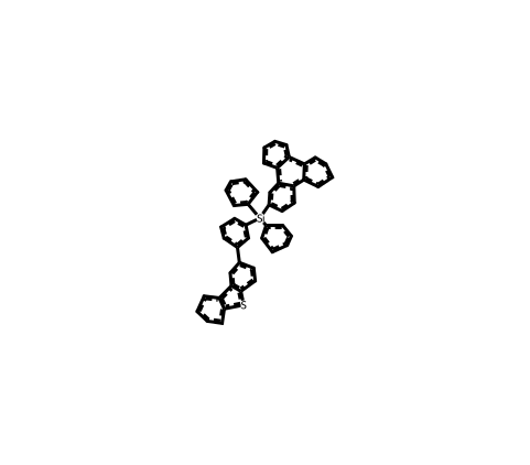 c1ccc([Si](c2ccccc2)(c2cccc(-c3ccc4sc5ccccc5c4c3)c2)c2ccc3c4ccccc4c4ccccc4c3c2)cc1